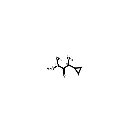 CON(C)C(=O)[C@@H](C)C1CC1